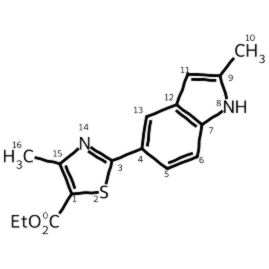 CCOC(=O)c1sc(-c2ccc3[nH]c(C)cc3c2)nc1C